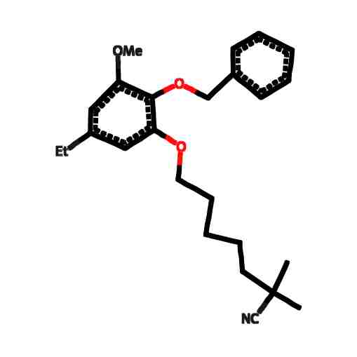 CCc1cc(OC)c(OCc2ccccc2)c(OCCCCCC(C)(C)C#N)c1